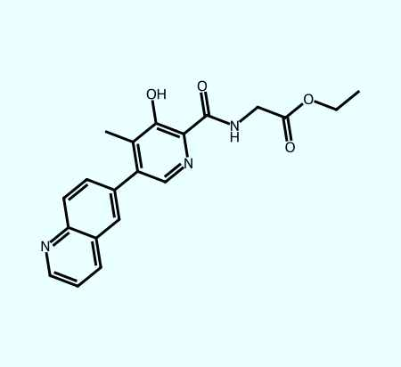 CCOC(=O)CNC(=O)c1ncc(-c2ccc3ncccc3c2)c(C)c1O